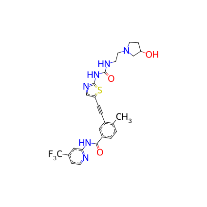 Cc1ccc(C(=O)Nc2cc(C(F)(F)F)ccn2)cc1C#Cc1cnc(NC(=O)NCCN2CCC(O)C2)s1